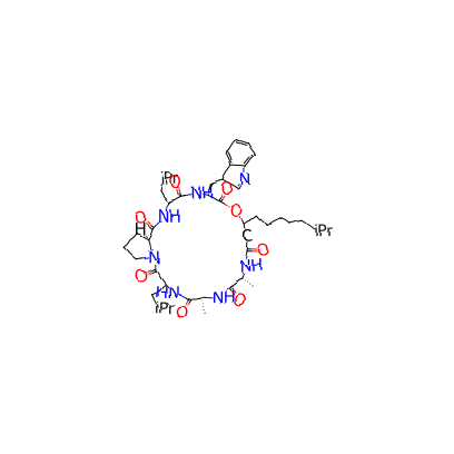 CC(C)CCCCCC1CC(=O)N[C@H](C)C(=O)N[C@H](C)C(=O)NC(CC(C)C)C(=O)N2CCC[C@H]2C(=O)NC(CC(C)C)C(=O)N[C@@H](CC2C=Nc3ccccc32)C(=O)O1